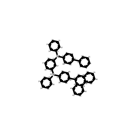 c1ccc(-c2ccc(N(c3ccccc3)c3cccc(N(c4ccccc4)c4ccc(-c5cc6ccccc6c6ccccc56)cc4)c3)cc2)cc1